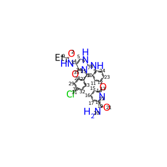 CCC(=O)NC1=CNC(Nc2ccc(Oc3cccc(C(N)=O)n3)cc2)N(Cc2ccc(Cl)cc2)C1=O